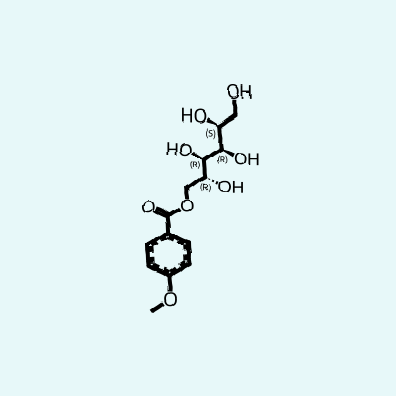 COc1ccc(C(=O)OC[C@@H](O)[C@@H](O)[C@H](O)[C@@H](O)CO)cc1